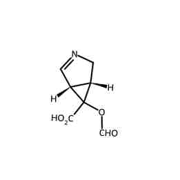 O=COC1(C(=O)O)[C@@H]2C=NC[C@@H]21